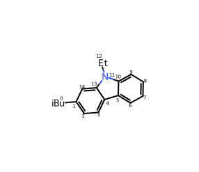 CCC(C)c1ccc2c3ccccc3n(CC)c2c1